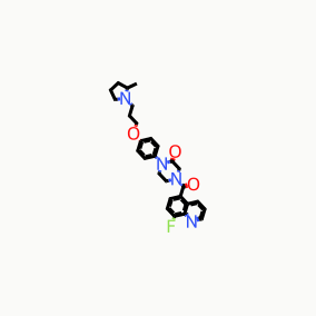 CC1CCCN1CCCOc1ccc(N2CCN(C(=O)c3ccc(F)c4ncccc34)CC2=O)cc1